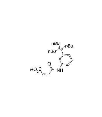 CCC[CH2][Sn]([CH2]CCC)([CH2]CCC)[c]1cccc(NC(=O)/C=C\C(=O)O)c1